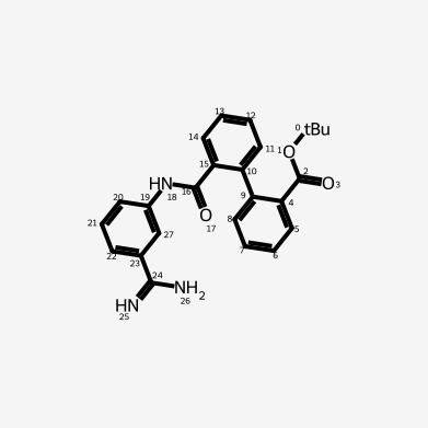 CC(C)(C)OC(=O)c1ccccc1-c1ccccc1C(=O)Nc1cccc(C(=N)N)c1